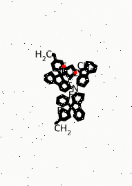 C=Cc1ccc(C2(c3c(F)cccc3F)c3ccccc3-c3ccc(N(c4ccc5c(c4)C(C)(C)c4ccccc4-5)c4ccc5c(c4)C(c4ccc(C=C)cc4)(c4c(F)cccc4F)c4ccccc4-5)cc32)cc1